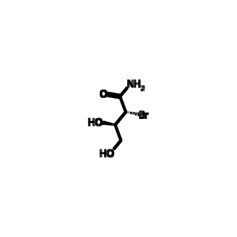 NC(=O)[C@H](Br)[C@H](O)CO